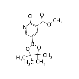 COC(=O)c1cc(B2OC(C)(C)C(C)(C)O2)cnc1Cl